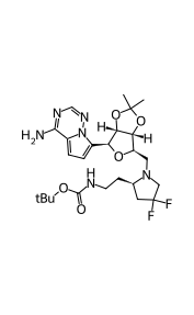 CC(C)(C)OC(=O)NCC[C@@H]1CC(F)(F)CN1C[C@H]1O[C@@H](c2ccc3c(N)ncnn23)[C@@H]2OC(C)(C)O[C@@H]21